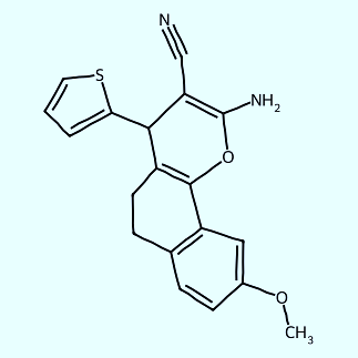 COc1ccc2c(c1)C1=C(CC2)C(c2cccs2)C(C#N)=C(N)O1